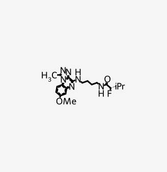 COc1ccc2c(c1)nc(NCCCCNC(=O)[C@@H](F)C(C)C)c1nnc(C)n12